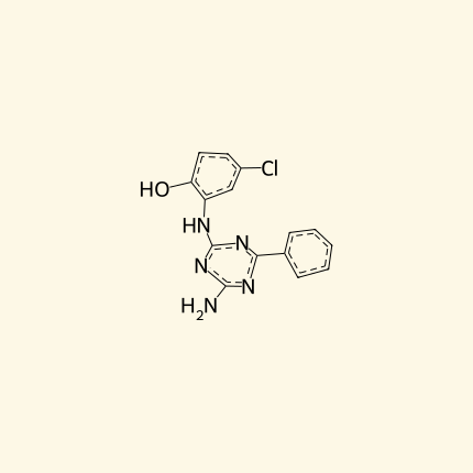 Nc1nc(Nc2cc(Cl)ccc2O)nc(-c2ccccc2)n1